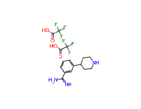 N=C(N)c1cccc(C2CCNCC2)c1.O=C(O)C(F)(F)F.O=C(O)C(F)(F)F